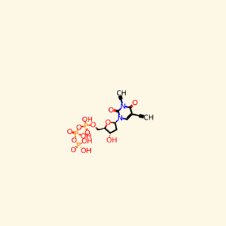 C#Cc1cn([C@H]2C[C@H](O)[C@@H](COP(=O)(O)OP(=O)(O)OP(=O)(O)O)O2)c(=O)n(C#C)c1=O